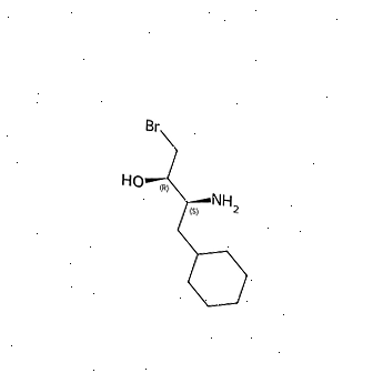 N[C@@H](CC1CCCCC1)[C@@H](O)CBr